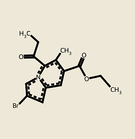 CCOC(=O)c1cc2cc(Br)cn2c(C(=O)CC)c1C